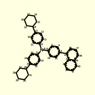 c1ccc2c(-c3ccc(N(c4ccc(C5CCCCC5)cc4)c4ccc(C5CCCCC5)cc4)cc3)cccc2c1